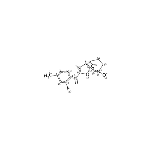 Cc1cnc(NC2=NC[C@@]3(C[N+]4([O-])CCC3CC4)O2)c(F)c1